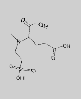 CN(CCS(=O)(=O)O)C(CCC(=O)O)C(=O)O